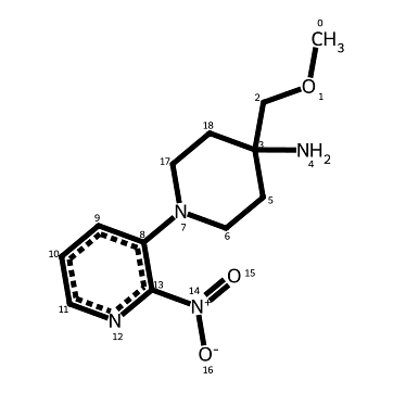 COCC1(N)CCN(c2cccnc2[N+](=O)[O-])CC1